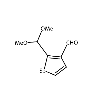 COC(OC)c1[se]ccc1C=O